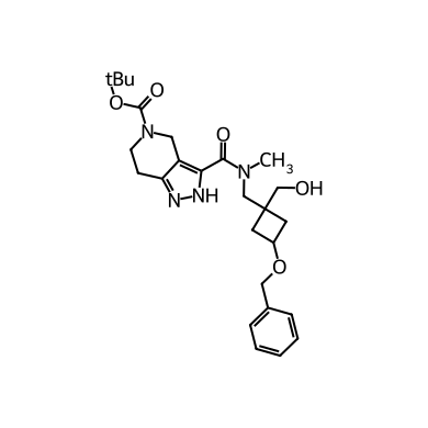 CN(CC1(CO)CC(OCc2ccccc2)C1)C(=O)c1[nH]nc2c1CN(C(=O)OC(C)(C)C)CC2